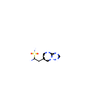 NC(Cc1cnc2ncnn2c1)S(N)(=O)=O